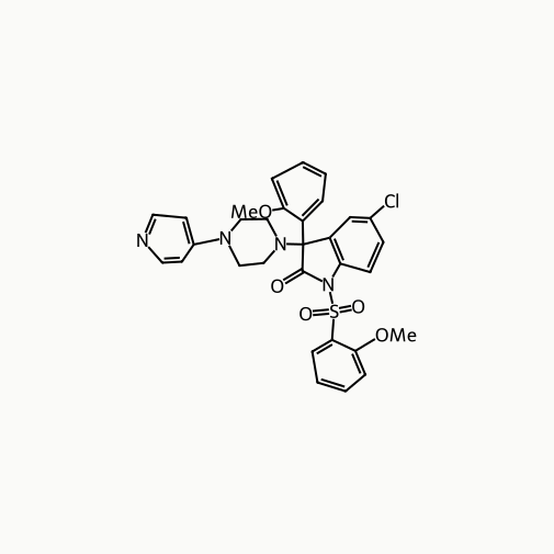 COc1ccccc1C1(N2CCN(c3ccncc3)CC2)C(=O)N(S(=O)(=O)c2ccccc2OC)c2ccc(Cl)cc21